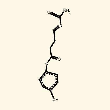 NC(=O)N=CCCC(=O)Oc1ccc(O)cc1